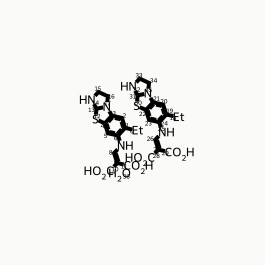 CCc1cc2c(cc1NC=C(C(=O)O)C(=O)O)SC1NCCN21.CCc1cc2c(cc1NC=C(C(=O)O)C(=O)O)SC1NCCN21.O